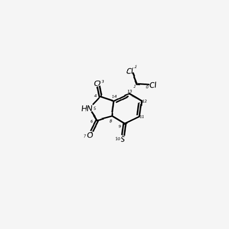 ClCCl.O=C1NC(=O)C2C(=S)C=CC=C12